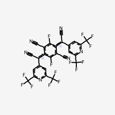 N#C/C(c1cc(C(F)(F)F)nc(C(F)(F)F)c1)=c1\c(F)c(C#N)/c(=C(\C#N)c2cc(C(F)(F)F)nc(C(F)(F)F)c2)c(F)c1C#N